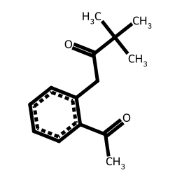 CC(=O)c1ccccc1CC(=O)C(C)(C)C